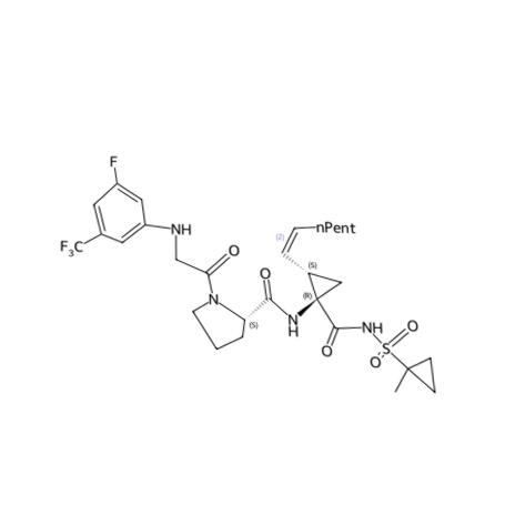 CCCCC/C=C\[C@@H]1C[C@]1(NC(=O)[C@@H]1CCCN1C(=O)CNc1cc(F)cc(C(F)(F)F)c1)C(=O)NS(=O)(=O)C1(C)CC1